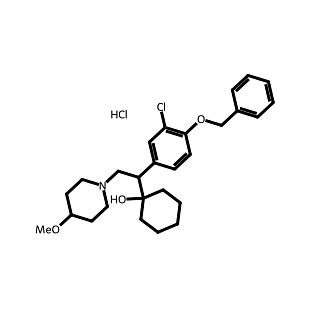 COC1CCN(CC(c2ccc(OCc3ccccc3)c(Cl)c2)C2(O)CCCCC2)CC1.Cl